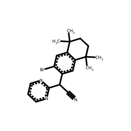 CC1(C)CCC(C)(C)c2cc(C(C#N)c3ncccn3)c(Br)cc21